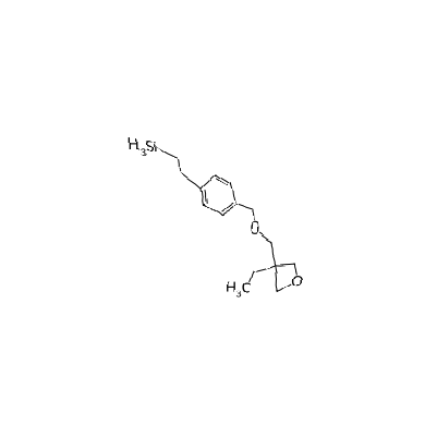 CCC1(COCc2ccc(CC[SiH3])cc2)COC1